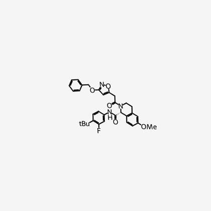 COc1ccc2c(c1)CCN(C(=O)Cc1cc(OCc3ccccc3)no1)[C@H]2C(=O)Nc1ccc(C(C)(C)C)c(F)c1